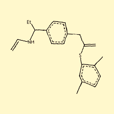 C=CNC(CC)c1ccc(CC(=C)Sc2cc(C)ccc2C)cc1